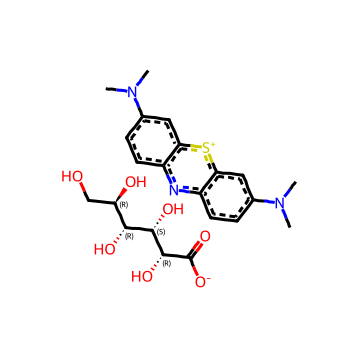 CN(C)c1ccc2nc3ccc(N(C)C)cc3[s+]c2c1.O=C([O-])[C@H](O)[C@@H](O)[C@H](O)[C@H](O)CO